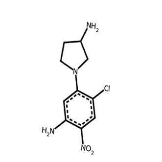 Nc1cc(N2CCC(N)C2)c(Cl)cc1[N+](=O)[O-]